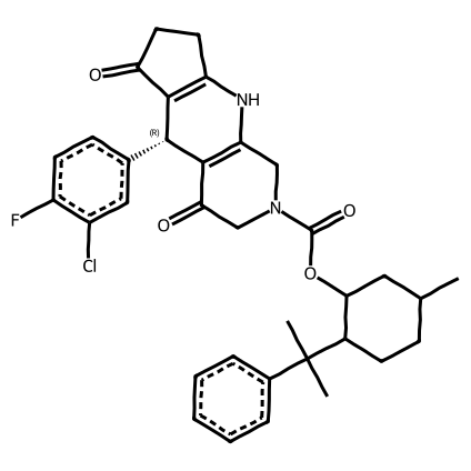 CC1CCC(C(C)(C)c2ccccc2)C(OC(=O)N2CC(=O)C3=C(C2)NC2=C(C(=O)CC2)[C@H]3c2ccc(F)c(Cl)c2)C1